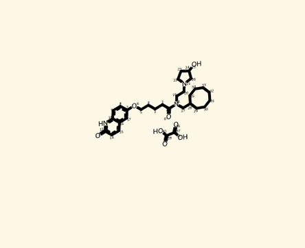 O=C(CCCCOc1ccc2[nH]c(=O)ccc2c1)N(CCN1CCC(O)C1)CC1CCCCCCC1.O=C(O)C(=O)O